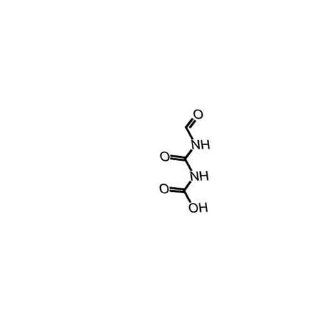 O=CNC(=O)NC(=O)O